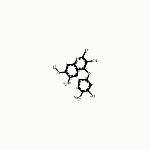 CCOc1cc2nc(CC)c(C#N)c(Oc3ccc(OC)c(Cl)c3)c2cc1N